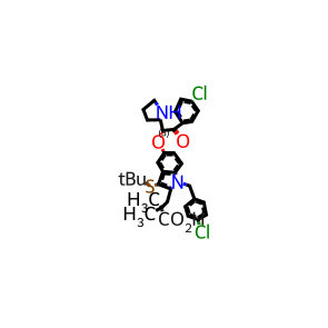 CC(C)(C)Sc1c(CC(C)(C)C(=O)O)n(Cc2ccc(Cl)cc2)c2ccc(O[C@H](C(=O)c3ccc(Cl)cc3)C3CCCN3)cc12